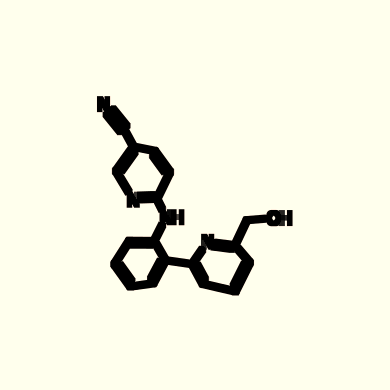 N#Cc1ccc(Nc2ccccc2-c2cccc(CO)n2)nc1